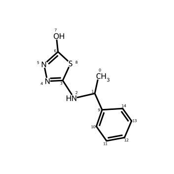 CC(Nc1nnc(O)s1)c1ccccc1